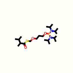 CC(C)C(C)C(=O)SCOCCCOP(N(C(C)C)C(C)C)N(C(C)C)C(C)C